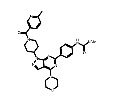 CNC(=O)Nc1ccc(-c2nc(N3CCOCC3)c3cnn(C4CCN(C(=O)c5ccc(C)nc5)CC4)c3n2)cc1